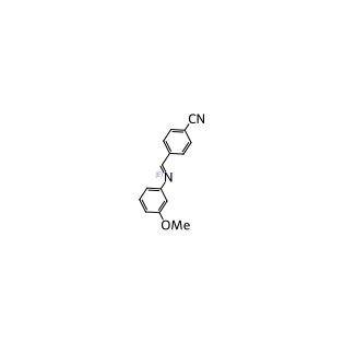 COc1cccc(/N=C/c2ccc(C#N)cc2)c1